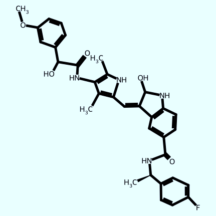 COc1cccc(C(O)C(=O)Nc2c(C)[nH]c(/C=C3/c4cc(C(=O)N[C@H](C)c5ccc(F)cc5)ccc4NC3O)c2C)c1